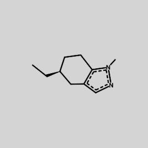 CC[C@H]1CCc2c(cnn2C)C1